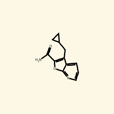 NC(=O)c1oc2ncccc2c1CC1CC1